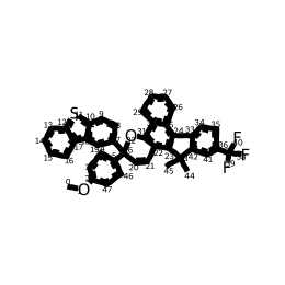 COc1ccc(C2(c3ccc4sc5ccccc5c4c3)C=Cc3c4c(c5ccccc5c3O2)-c2ccc(C(F)(F)F)cc2C4(C)C)cc1